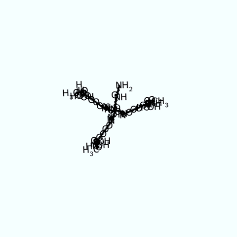 CC(=O)N[C@H]1[C@@H]2OC[C@](COCCOCCOCCOCCn3cc(COCC(COCc4cn(CCOCCOCCOCCOC[C@@]56CO[C@H](O5)[C@H](NC(C)=O)[C@@H](O)[C@H]6O)nn4)(COCc4cn(CCOCCOCCOCCOC[C@@]56CO[C@@H](O5)[C@H](NC(C)=O)[C@@H](O)[C@H]6O)nn4)NC(=O)CCCCCNC(=O)CCCCCN)nn3)(O2)[C@H](O)[C@@H]1O